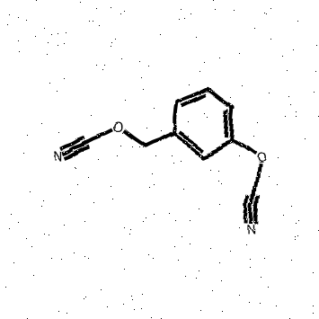 N#COCc1cccc(OC#N)c1